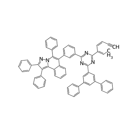 C#C/C=C\C(=C/C)c1nc(-c2cc(-c3ccccc3)cc(-c3ccccc3)c2)nc(-c2cccc(-c3c(-c4ccccc4)n4nc(-c5ccccc5)c(-c5ccccc5)c4c4ccccc34)c2)n1